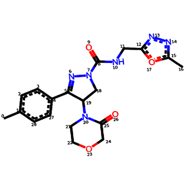 Cc1ccc(C2=NN(C(=O)NCc3nnc(C)o3)CC2N2CCOCC2=O)cc1